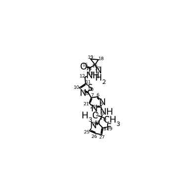 CC(C)(Nc1ncc(-c2ncc(CNC(=O)C3(N)CC3)s2)cn1)c1ncccc1F